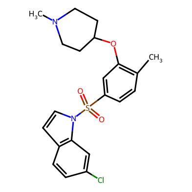 Cc1ccc(S(=O)(=O)n2ccc3ccc(Cl)cc32)cc1OC1CCN(C)CC1